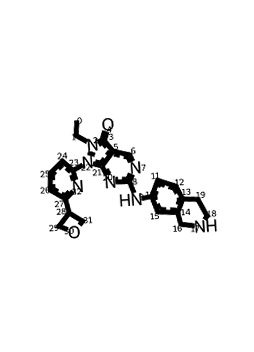 CCn1c(=O)c2cnc(Nc3ccc4c(c3)CNCC4)nc2n1-c1cccc(C2COC2)n1